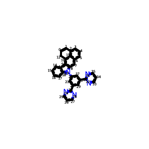 C1=Cc2cccc3cc4c(c(c23)C1)c1ccccc1n4-c1cc(-c2ncccn2)cc(-c2ncccn2)c1